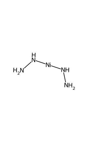 N[NH][Ni][NH]N